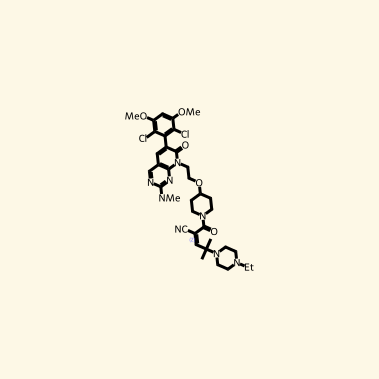 CCN1CCN(C(C)(C)/C=C(/C#N)C(=O)N2CCC(OCCn3c(=O)c(-c4c(Cl)c(OC)cc(OC)c4Cl)cc4cnc(NC)nc43)CC2)CC1